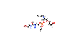 C=CCOP(OCCNC(=O)NCCO)OCC(COCC[C@@H](C)O)=NOC